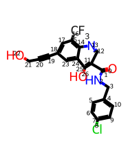 O=C(NCc1ccc(Cl)cc1)c1cnc2c(C(F)(F)F)cc(C#CCO)cc2c1O